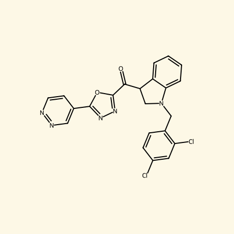 O=C(c1nnc(-c2ccnnc2)o1)C1CN(Cc2ccc(Cl)cc2Cl)c2ccccc21